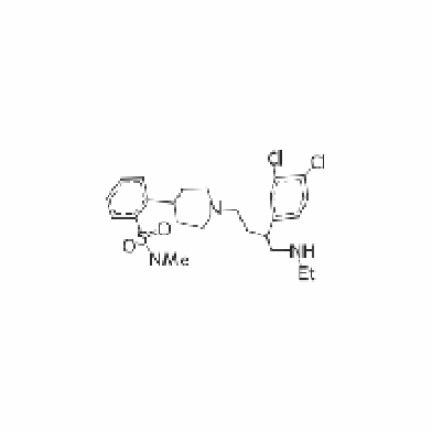 CCNCC(CCN1CCC(c2ccccc2S(=O)(=O)NC)CC1)c1ccc(Cl)c(Cl)c1